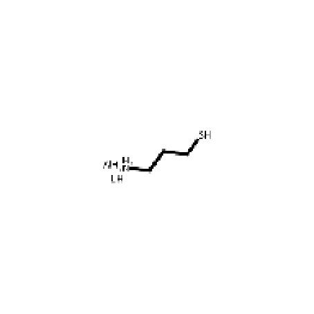 NCCCS.[AlH3].[LiH]